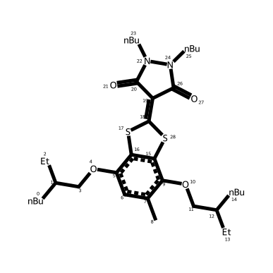 CCCCC(CC)COc1cc(C)c(OCC(CC)CCCC)c2c1SC(=C1C(=O)N(CCCC)N(CCCC)C1=O)S2